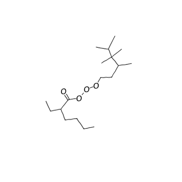 CCCCC(CC)C(=O)OOOCCC(C)C(C)(C)C(C)C